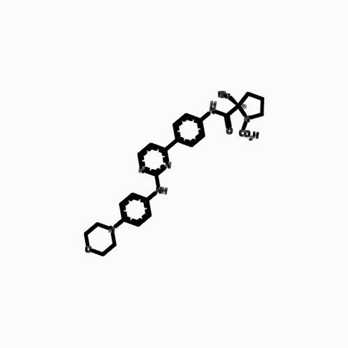 CC(C)(C)[C@@]1(C(=O)Nc2ccc(-c3ccnc(Nc4ccc(N5CCOCC5)cc4)n3)cc2)CCCN1C(=O)O